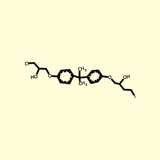 CC(C)(c1ccc(OCC(O)CCl)cc1)c1ccc(OCC(O)CCI)cc1